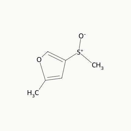 Cc1cc([S+](C)[O-])co1